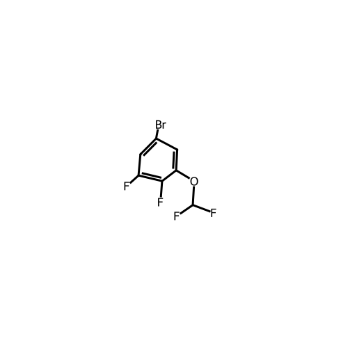 Fc1cc(Br)cc(OC(F)F)c1F